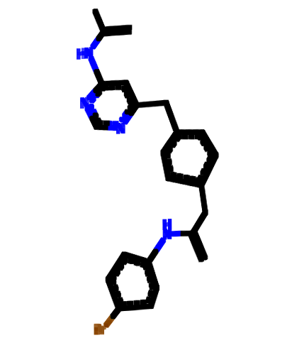 C=C(C)Nc1cc(Cc2ccc(CC(=C)Nc3ccc(Br)cc3)cc2)ncn1